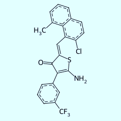 Cc1cccc2ccc(Cl)c(C=C3SC(N)=C(c4cccc(C(F)(F)F)c4)C3=O)c12